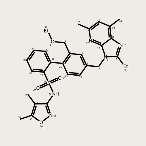 CCOCc1cc(Cn2c(CC)nc3c(C)cc(C)nc32)ccc1-c1ccccc1S(=O)(=O)Nc1noc(C)c1C